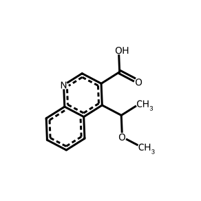 COC(C)c1c(C(=O)O)cnc2ccccc12